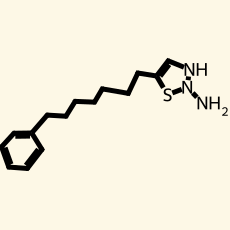 NN1NC=C(CCCCCCCc2ccccc2)S1